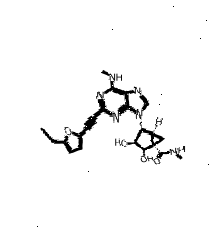 CCc1ccc(C#Cc2nc(NC)c3ncn([C@H]4[C@H](O)[C@H](O)[C@]5(C(=O)NC)C[C@H]45)c3n2)o1